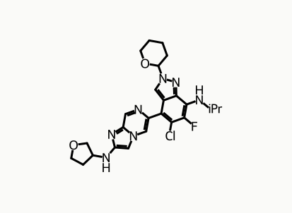 CC(C)Nc1c(F)c(Cl)c(-c2cn3cc(NC4CCOC4)nc3cn2)c2cn(C3CCCCO3)nc12